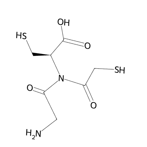 NCC(=O)N(C(=O)CS)[C@@H](CS)C(=O)O